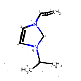 C=CN1C=CN(C(C)C)C1